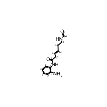 Nc1ccccc1NC(=O)C/C=C/CCNC=O